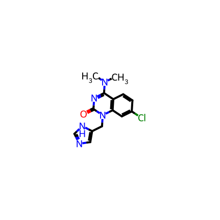 CN(C)c1nc(=O)n(Cc2cnc[nH]2)c2cc(Cl)ccc12